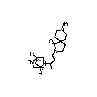 CC(C)N1CCC2(CCN(CCC(C)N3C[C@@H]4C[C@H]3CN4C)C2=O)CC1